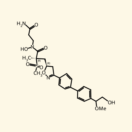 COC(CO)c1ccc(-c2ccc(C3=NO[C@@H](C[C@](C)(C(=O)N(O)CCC(N)=O)S(C)(=O)=O)C3)cc2)cc1